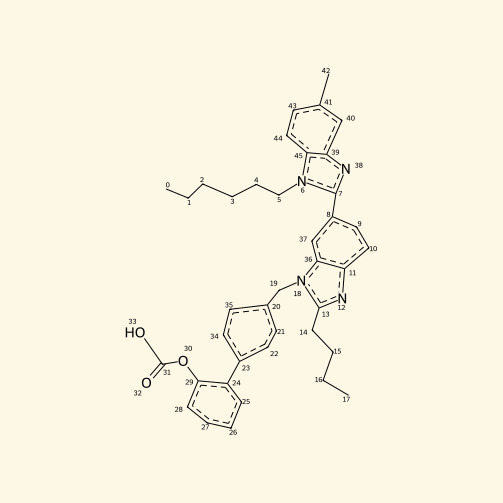 CCCCCCn1c(-c2ccc3nc(CCCC)n(Cc4ccc(-c5ccccc5OC(=O)O)cc4)c3c2)nc2cc(C)ccc21